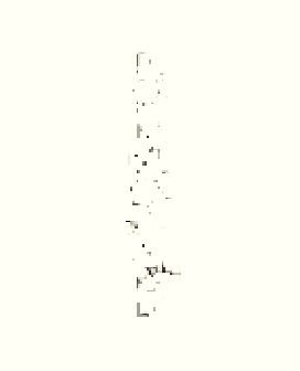 O=C(NCc1ccc(F)cc1)Nc1ccc(CC(=O)N2C[C@@H]3[C@H](CO)[C@@H]3C2)cc1